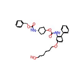 O=C(N[C@H]1CC[C@H](OC(=O)Nc2cc(OCCCCCCO)ccc2-c2ccccc2)CC1)OCc1ccccc1